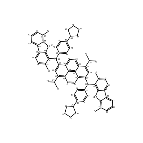 Cc1ccc2c(oc3c(C)cccc32)c1N(c1ccc(C2CCCC2)cc1)c1cc(C(C)C)c2ccc3c(N(c4ccc(C5CCCC5)cc4)c4c(C)ccc5c4oc4c(C)cccc45)cc(C(C)C)c4ccc1c2c43